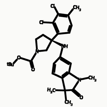 Cc1ccc([C@@]2(Nc3ccc4c(c3)N(C)C(=O)C4(C)C)CCN(C(=O)OC(C)(C)C)C2)c(Cl)c1Cl